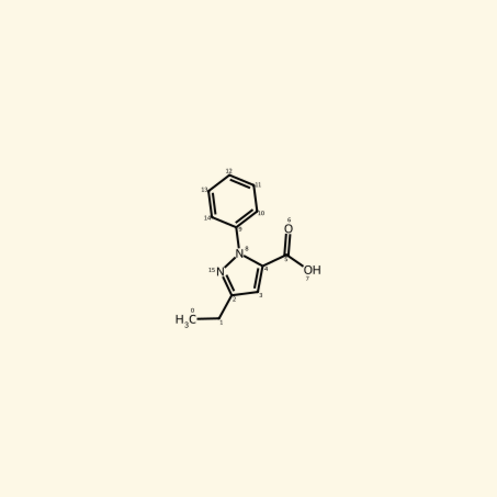 CCc1cc(C(=O)O)n(-c2ccccc2)n1